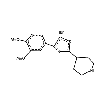 Br.COc1ccc(-c2csc(C3CCNCC3)n2)cc1OC